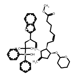 C=C1C[C@H](OC2CCCCO2)[C@H](C/C=C\CCCC(=O)OC)[C@H]1/C=C/[C@@H](CC(C)(C)[Si](O)(c1ccccc1)c1ccccc1)c1cc2ccccc2s1